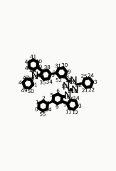 c1ccc(-c2ccc3c(c2)c2ccccc2n3-c2nc(-c3ccccc3)nc(-c3cccc(-c4ccc5c(c4)c4ccccc4n5-c4ccccc4)c3)n2)cc1